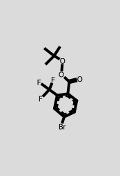 CC(C)(C)OOC(=O)c1ccc(Br)cc1C(F)(F)F